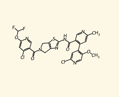 COc1cnc(Cl)cc1-c1cc(C)ncc1C(=O)Nc1nc2c(s1)CN(C(=O)c1cnc(OC(F)F)cc1Cl)C2